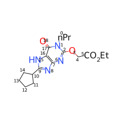 CCCn1c(OCC(=O)OCC)nc2nc(C3CCCC3)[nH]c2c1=O